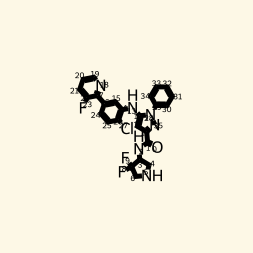 O=C(NC1CNCC1(F)F)c1cc(Nc2cc(-c3ncccc3F)ccc2Cl)n(-c2ccccc2)n1